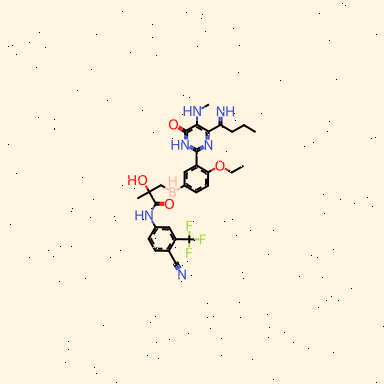 CCCC(=N)c1nc(-c2cc(BCC(C)(O)C(=O)Nc3ccc(C#N)c(C(F)(F)F)c3)ccc2OCC)[nH]c(=O)c1NC